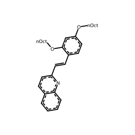 CCCCCCCCOc1ccc(C=Cc2ccc3ccccc3n2)c(OCCCCCCCC)c1